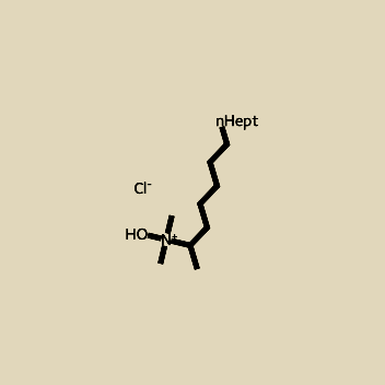 CCCCCCCCCCCCC(C)[N+](C)(C)O.[Cl-]